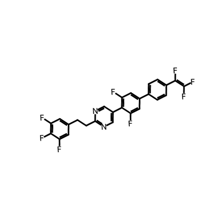 FC(F)=C(F)c1ccc(-c2cc(F)c(-c3cnc(CCc4cc(F)c(F)c(F)c4)nc3)c(F)c2)cc1